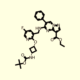 CCOC(=O)c1cnn2cc(-c3ccccc3)c(NCc3cc(F)cnc3O[C@H]3C[C@@H](NC(=O)OC(C)(C)C)C3)nc12